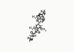 Cc1cc(C2=NOC(c3cc(C(F)(F)F)nn3C)(C(F)(F)F)C2)cc(C)c1C(=O)NCC(=O)NCC(F)(F)F